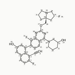 C#Cc1c(F)ccc2cc(O)cc(-c3ccc4c(N5CCCC(O)C5)nc(OC[C@@]56CCCN5C[C@H](F)C6)nc4c3F)c12